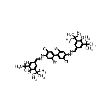 CC(C)(C)C1=CC(=C/N=N/c2cc(Br)c(-c3cc(Cl)c(/N=N/C=C4C=C(C(C)(C)C)C(=O)C(C(C)(C)C)=C4)cc3Br)cc2Cl)C=C(C(C)(C)C)C1=O